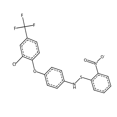 O=[N+]([O-])c1ccccc1SNc1ccc(Oc2ccc(C(F)(F)F)cc2Cl)cc1